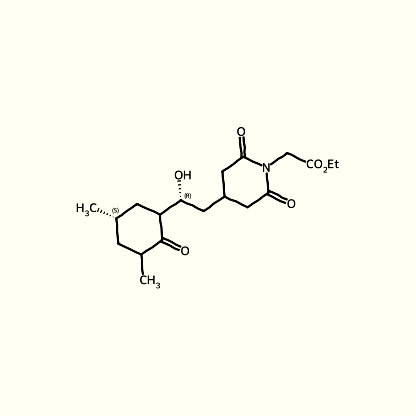 CCOC(=O)CN1C(=O)CC(C[C@@H](O)C2C[C@@H](C)CC(C)C2=O)CC1=O